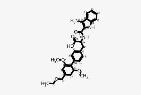 CCOCC1=CC(OC)=C(c2ccc(CC(NC(=O)c3[nH]c4ccccc4c3N)C(=O)O)cc2)C(OC)C1